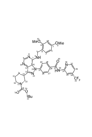 COc1ccc(CNc2ncnc3c(C4CCCN(C(=O)OC(C)(C)C)C4)nn(-c4ccc(C(=O)Nc5cc(C(F)(F)F)ccn5)cc4)c23)c(OC)c1